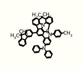 Cc1ccc(N2B3c4cccc5c4-n4c6c(cccc6c6c(-c7ccc8c(c7)-c7ccccc7C8(C)C)cc(c3c64)-c3cc(N(c4ccccc4)c4ccccc4)ccc32)C5(C)C)cc1